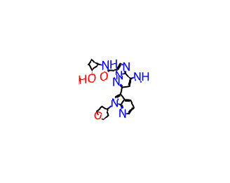 CNc1cc(-c2cn(C3CCOCC3)c3ncccc23)nn2c(C(=O)NC3CC[C@H]3O)cnc12